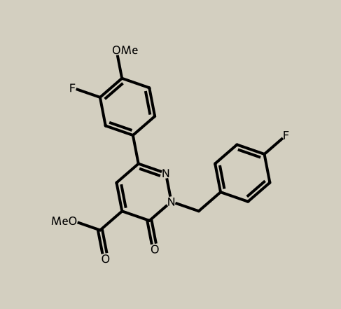 COC(=O)c1cc(-c2ccc(OC)c(F)c2)nn(Cc2ccc(F)cc2)c1=O